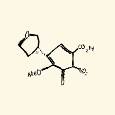 COC1=C([C@@H]2CCOC2)C=C(C(=O)O)C([N+](=O)[O-])C1=O